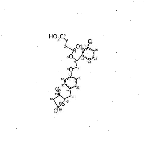 O=C(O)CCC(=O)O[C@H](COc1ccc(CC2SC(=O)CC2=O)cc1)c1cccc(Cl)c1